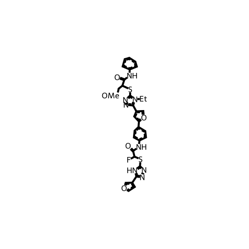 CCn1c(SC(COC)C(=O)Nc2ccccc2)nnc1-c1coc(-c2ccc(NC(=O)C(F)Sc3nnc(-c4ccoc4)[nH]3)cc2)c1